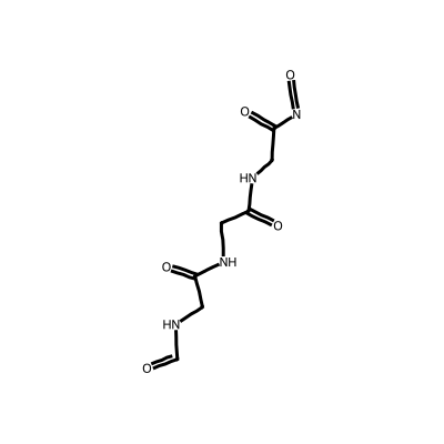 O=CNCC(=O)NCC(=O)NCC(=O)N=O